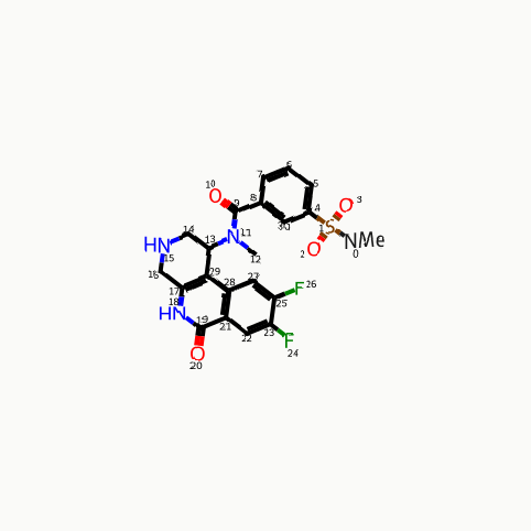 CNS(=O)(=O)c1cccc(C(=O)N(C)C2CNCc3[nH]c(=O)c4cc(F)c(F)cc4c32)c1